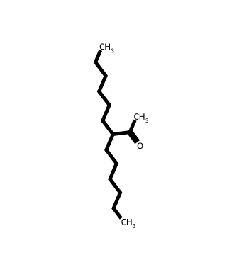 CCCCCCC(CCCCCC)C(C)=O